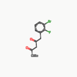 COC(=O)CC(=O)Cc1cccc(Br)c1F